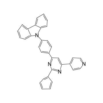 c1ccc(-c2nc(-c3ccncc3)cc(-c3ccc(-n4c5ccccc5c5ccccc54)cc3)n2)cc1